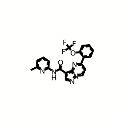 Cc1cccc(NC(=O)c2cnn3ccc(-c4ccccc4OC(F)(F)F)nc23)n1